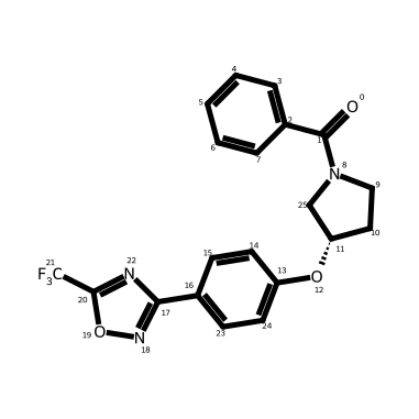 O=C(c1ccccc1)N1CC[C@H](Oc2ccc(-c3noc(C(F)(F)F)n3)cc2)C1